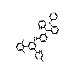 Cc1ccc(-c2cc(Oc3cccc([C@H](c4ccccn4)c4ccccc4Sc4ccccc4)c3)cc(-c3c(C)cccc3C)c2)nc1